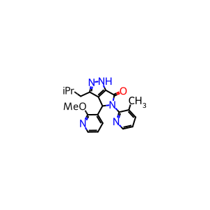 COc1ncccc1C1c2c(CC(C)C)n[nH]c2C(=O)N1c1ncccc1C